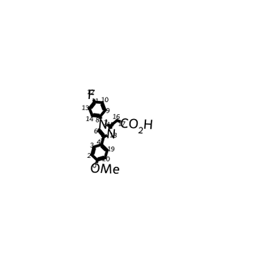 COc1ccc(-c2cn(-c3ccc(F)cc3)c(CC(=O)O)n2)cc1